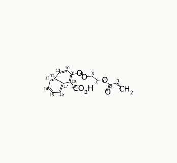 C=CC(=O)OCCOOc1ccc2ccccc2c1C(=O)O